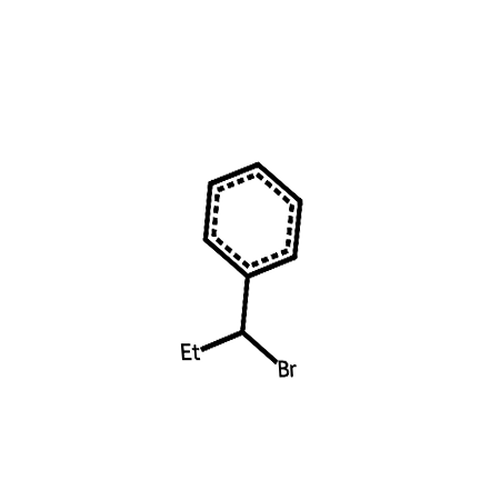 [CH2]CC(Br)c1ccccc1